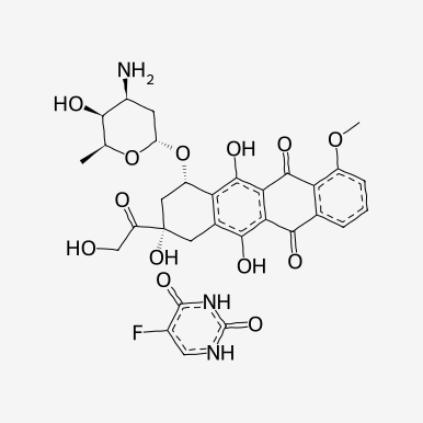 COc1cccc2c1C(=O)c1c(O)c3c(c(O)c1C2=O)C[C@@](O)(C(=O)CO)C[C@@H]3O[C@H]1C[C@H](N)[C@H](O)[C@H](C)O1.O=c1[nH]cc(F)c(=O)[nH]1